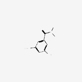 CCN(CC)C(=O)c1cc(O)cc(OC)c1